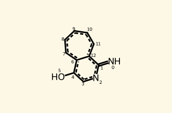 N=c1ncc(O)c2cccccc1-2